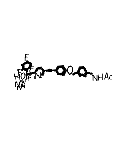 CC(=O)NCc1ccc(COc2ccc(C#Cc3ccc(C(F)(F)C(O)(Cn4cnnn4)c4ccc(F)cc4F)nc3)cc2)cc1